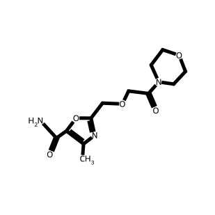 Cc1nc(COCC(=O)N2CCOCC2)oc1C(N)=O